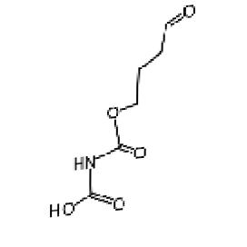 O=CCCCOC(=O)NC(=O)O